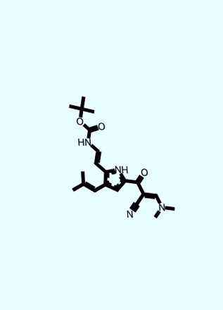 CC(C)=Cc1cc(C(=O)/C(C#N)=C/N(C)C)[nH]c1/C=C/NC(=O)OC(C)(C)C